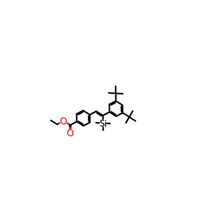 CCOC(=O)c1ccc(C=C(c2cc(C(C)(C)C)cc(C(C)(C)C)c2)[Si](C)(C)C)cc1